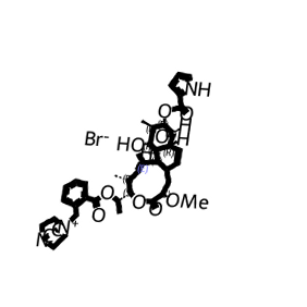 CO[C@H]1CC2C=C[C@H]3[C@H]4O[C@]2(/C(C)=C/[C@@H](C)[C@@H](C(C)OC(=O)c2ccccc2C[N+]25CCN(CC2)CC5)OC1=O)[C@@H]3[C@H](O)[C@@H](C)[C@H]4OC(=O)c1ccc[nH]1.[Br-]